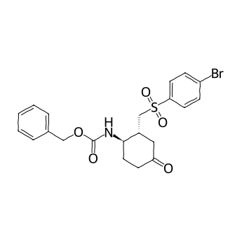 O=C1CC[C@@H](NC(=O)OCc2ccccc2)[C@H](CS(=O)(=O)c2ccc(Br)cc2)C1